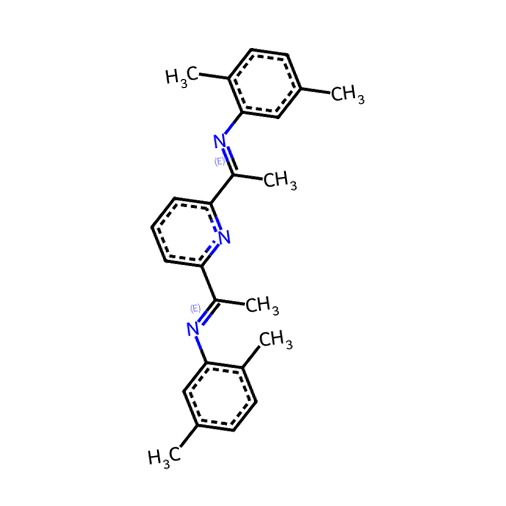 C/C(=N\c1cc(C)ccc1C)c1cccc(/C(C)=N/c2cc(C)ccc2C)n1